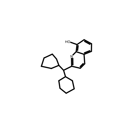 Oc1cccc2ccc(C(C3CCCCC3)C3CCCCC3)nc12